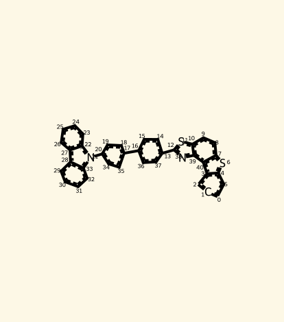 c1ccc2c(c1)sc1ccc3sc(-c4ccc(-c5ccc(-n6c7ccccc7c7ccccc76)cc5)cc4)nc3c12